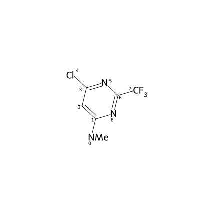 CNc1cc(Cl)nc(C(F)(F)F)n1